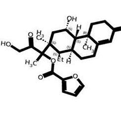 CC[C@H]1[C@@H]2CCC3=CC(=O)CC[C@]3(C)[C@H]2[C@@H](O)C[C@]1(C)C(C)(OC(=O)c1ccco1)C(=O)CO